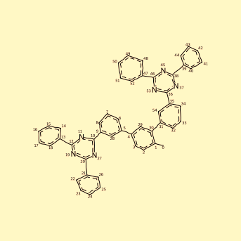 Cc1ccc(-c2cccc(-c3nc(-c4ccccc4)nc(-c4ccccc4)n3)c2)cc1-c1cccc(-c2nc(-c3ccccc3)nc(-c3ccccc3)n2)c1